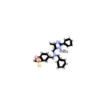 CCCCn1c(-c2ccccc2)nc(C)c1CN(Cc1ccccc1)Cc1ccc2c(c1)PCO2